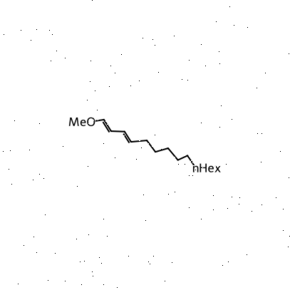 [CH2]OC=CC=CCCCCCCCCCCC